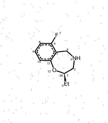 CC[C@@H]1CNCc2c(F)cccc2O1